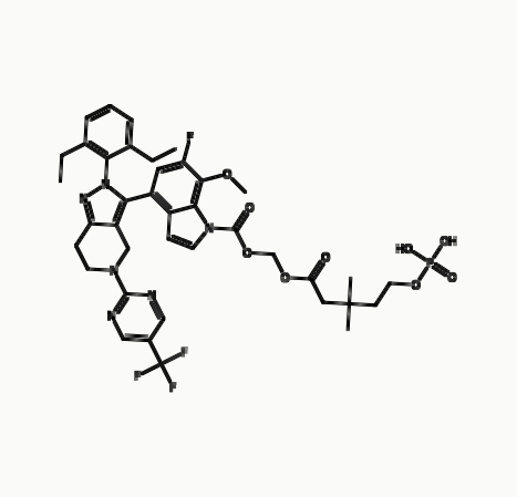 CCc1cccc(CC)c1-n1nc2c(c1-c1cc(F)c(OC)c3c1ccn3C(=O)OCOC(=O)CC(C)(C)CCOP(=O)(O)O)CN(c1ncc(C(F)(F)F)cn1)CC2